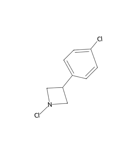 Clc1ccc(C2CN(Cl)C2)cc1